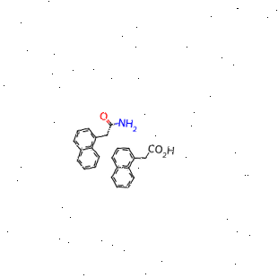 NC(=O)Cc1cccc2ccccc12.O=C(O)Cc1cccc2ccccc12